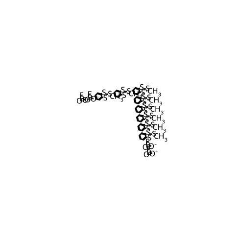 CSc1sc2ccccc2[s+]1.CSc1sc2ccccc2[s+]1.CSc1sc2ccccc2[s+]1.CSc1sc2ccccc2[s+]1.CSc1sc2ccccc2[s+]1.CSc1sc2ccccc2[s+]1.CSc1sc2ccccc2[s+]1.CSc1sc2ccccc2[s+]1.[O-]B([O-])F.[O-]B([O-])F.[O-]B([O-])F.[O-]B([O-])F